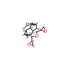 C(OCC1CO1)C1CO1.C1=CC2C3C=CC(C3)C2C1.COC